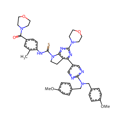 COc1ccc(CN(Cc2ccc(OC)cc2)c2ncc(-c3nc(N4CCOCC4)nc4c3CCN4C(=S)Nc3ccc(C(=O)N4CCOCC4)cc3C)cn2)cc1